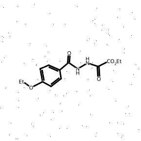 CCOC(=O)C(=O)NNC(=O)c1ccc(OCC)cc1